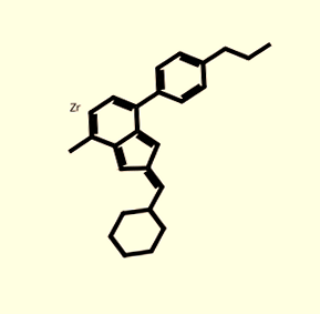 CCCc1ccc(-c2ccc(C)c3c2=CC(=CC2CCCCC2)[C]=3)cc1.[Zr]